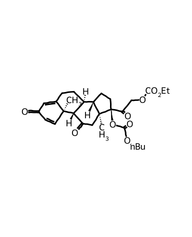 CCCCOC(=O)O[C@]1(C(=O)COC(=O)OCC)CC[C@H]2[C@@H]3CCC4=CC(=O)C=C[C@]4(C)[C@H]3C(=O)C[C@@]21C